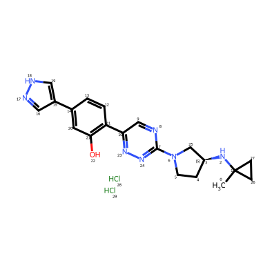 CC1(N[C@H]2CCN(c3ncc(-c4ccc(-c5cn[nH]c5)cc4O)nn3)C2)CC1.Cl.Cl